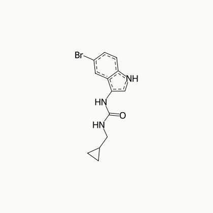 O=C(NCC1CC1)Nc1c[nH]c2ccc(Br)cc12